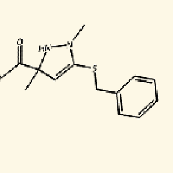 CN1NC(C)(C(=O)Cl)C=C1SCc1ccccc1